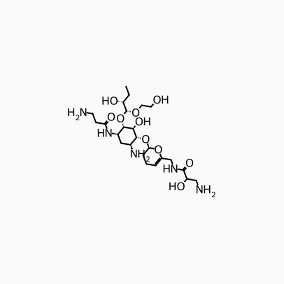 CC[C@@H](O)[C@H](OCCO)O[C@@H]1[C@@H](O)[C@H](O[C@@H]2CCC=C(CNC(=O)C(O)CN)O2)[C@@H](N)C[C@H]1NC(=O)CCN